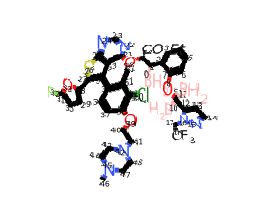 B[C@H](c1ccccc1OC(B)(B)c1ccnn1CC(F)(F)F)[C@H](Oc1ncnc2sc(-c3ccc(F)o3)c(-c3ccc(OCCN4CCN(C)CC4)c(Cl)c3C)c12)C(=O)OCC